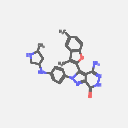 Cc1ccc2oc(-c3c4c(N)n[nH]c(=O)c4nn3-c3ccc(NC4CNC(C)C4)cc3)c(C)c2c1